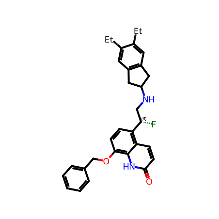 CCc1cc2c(cc1CC)CC(NC[C@H](F)c1ccc(OCc3ccccc3)c3[nH]c(=O)ccc13)C2